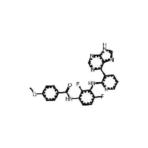 COc1ccc(C(=O)Nc2ccc(F)c(Nc3ncccc3-c3ncnc4[nH]cnc34)c2F)cc1